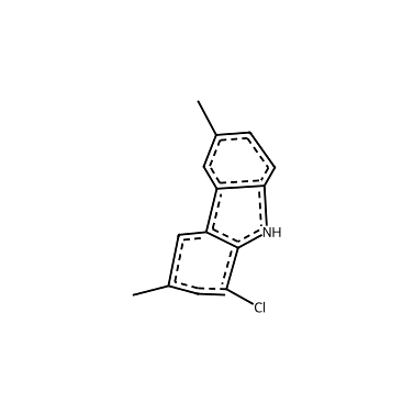 Cc1ccc2[nH]c3c(Cl)cc(C)cc3c2c1